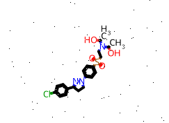 CC(O)N(CCS(=O)(=O)c1ccc(N2CCC(c3ccc(Cl)cc3)=N2)cc1)C(C)O